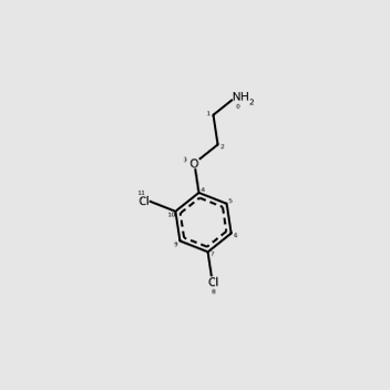 NCCOc1ccc(Cl)cc1Cl